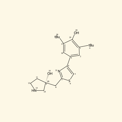 CC(C)(C)c1cc(-c2csc(C[C@]3(O)CCNC3)n2)cc(C(C)(C)C)c1O